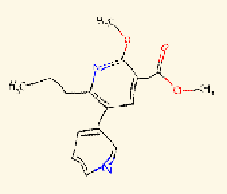 CCCc1nc(OC)c(C(=O)OC)cc1-c1cccnc1